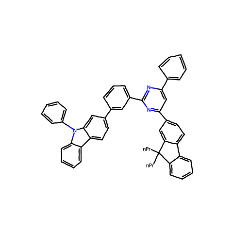 CCCC1(CCC)c2ccccc2-c2ccc(-c3cc(-c4ccccc4)nc(-c4cccc(-c5ccc6c7ccccc7n(-c7ccccc7)c6c5)c4)n3)cc21